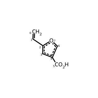 C=Cc1cc(C(=O)O)co1